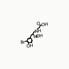 O=C(O)CCNCC(Cc1ccc(O)c(Br)c1)=NO